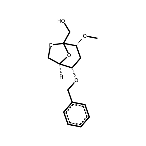 CO[C@@H]1C[C@H](OCc2ccccc2)[C@H]2COC1(CO)O2